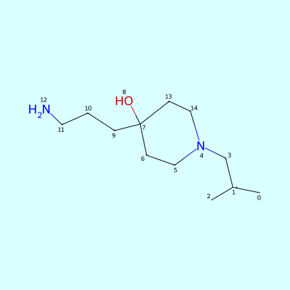 C[C](C)CN1CCC(O)(CCCN)CC1